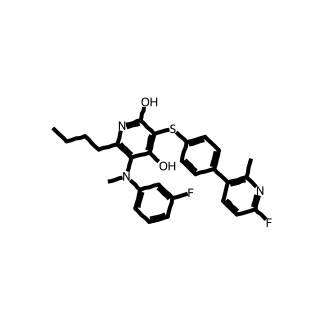 CCCCc1nc(O)c(Sc2ccc(-c3ccc(F)nc3C)cc2)c(O)c1N(C)c1cccc(F)c1